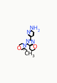 CC[C@H]1COCCN1c1nc(-c2ccc(N)nc2)nc2c1CCCO2